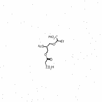 CCC(OCC(COC(=O)CC(=O)O)OC(C)=O)C(=O)O